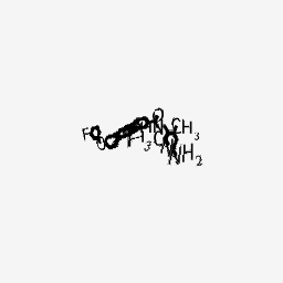 Cc1cc(N)nc(C)c1CNC(=O)c1ccc2c(c1)c1oc2c2cc(Oc3cccc(F)c3)ccc21